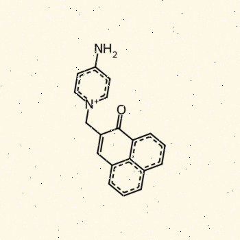 Nc1cc[n+](CC2=Cc3cccc4cccc(c34)C2=O)cc1